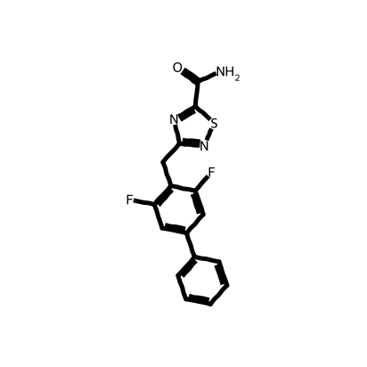 NC(=O)c1nc(Cc2c(F)cc(-c3ccccc3)cc2F)ns1